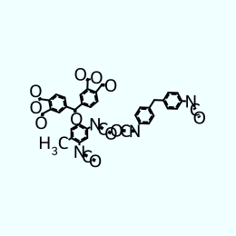 Cc1ccc(N=C=O)cc1N=C=O.O=C(c1ccc2c(c1)C(=O)OC2=O)c1ccc2c(c1)C(=O)OC2=O.O=C=Nc1ccc(Cc2ccc(N=C=O)cc2)cc1